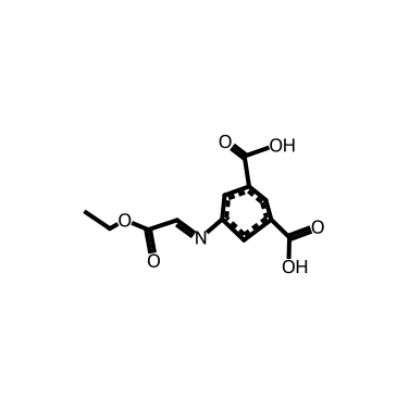 CCOC(=O)C=Nc1cc(C(=O)O)cc(C(=O)O)c1